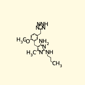 CCCCNc1nc(C)c(Cc2cc(Cc3nn[nH]n3)ccc2OC)c(N)n1